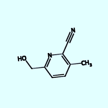 Cc1ccc(CO)nc1C#N